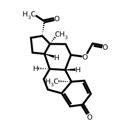 CC(=O)[C@H]1CC[C@H]2[C@@H]3CCC4=CC(=O)C=C[C@]4(C)[C@H]3C(OC=O)C[C@]12C